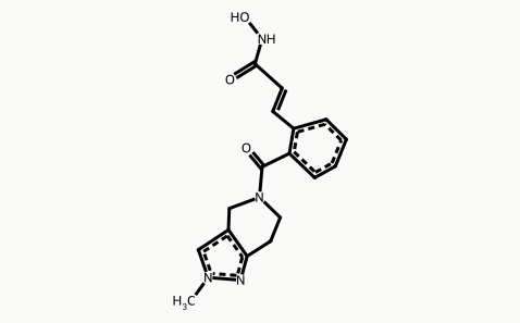 Cn1cc2c(n1)CCN(C(=O)c1ccccc1C=CC(=O)NO)C2